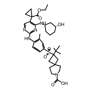 CCOC(=O)C1(c2cnc(Nc3ccc(S(=O)(=O)C4(C(C)(C)C)CC5(CCN(C(=O)O)CC5)C4)cc3C)nc2N[C@@H]2CCC[C@@H](O)C2)CC1